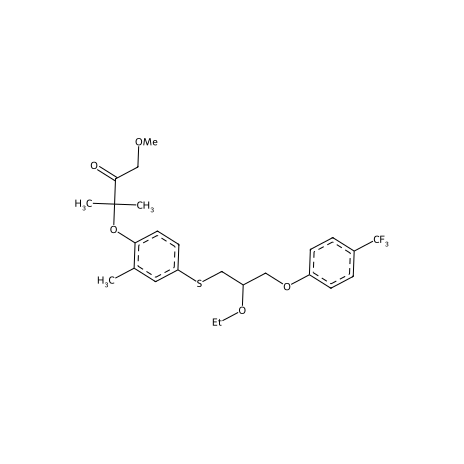 CCOC(COc1ccc(C(F)(F)F)cc1)CSc1ccc(OC(C)(C)C(=O)COC)c(C)c1